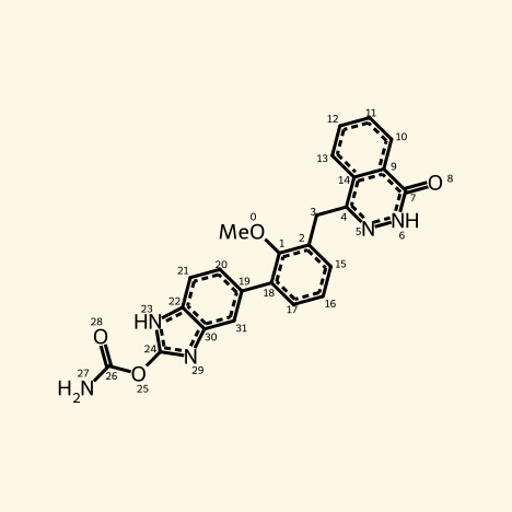 COc1c(Cc2n[nH]c(=O)c3ccccc23)cccc1-c1ccc2[nH]c(OC(N)=O)nc2c1